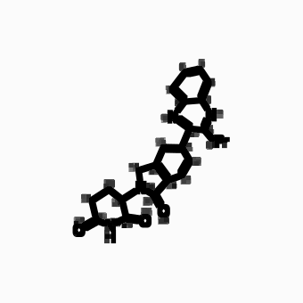 CC(C)c1nc2ccccc2nc1-c1ccc2c(c1)CN(C1CCC(=O)NC1=O)C2=O